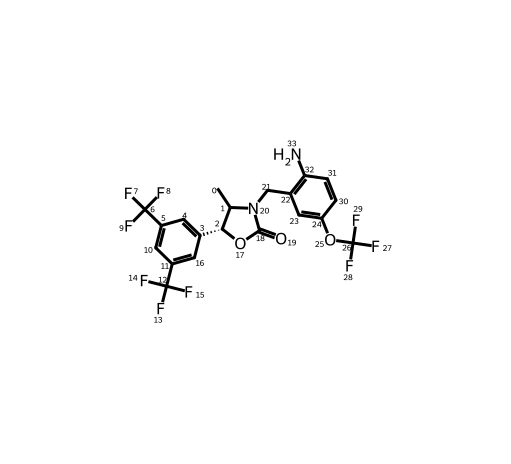 CC1[C@@H](c2cc(C(F)(F)F)cc(C(F)(F)F)c2)OC(=O)N1Cc1cc(OC(F)(F)F)ccc1N